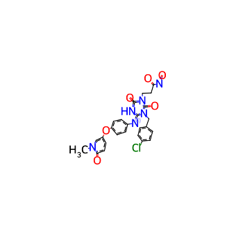 Cn1cc(Oc2ccc(/N=c3\[nH]c(=O)n(CCC(=O)N=O)c(=O)n3Cc3ccc(Cl)cc3)cc2)ccc1=O